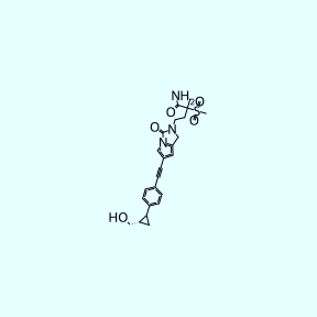 CC(CCN1Cc2cc(C#Cc3ccc(C4C[C@@H]4CO)cc3)cn2C1=O)(C(N)=O)S(C)(=O)=O